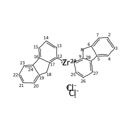 [Cl-].[Cl-].c1ccc2c(c1)Cc1[c]([Zr+2][c]3cccc4c3Cc3ccccc3-4)cccc1-2